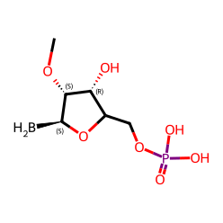 B[C@@H]1OC(COP(=O)(O)O)[C@@H](O)[C@H]1OC